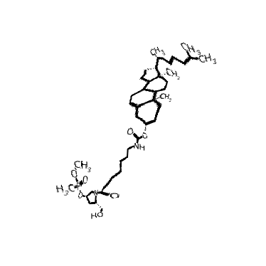 COP(C)(=O)O[C@@H]1C[C@@H](CO)N(C(=O)CCCCCNC(=O)O[C@H]2CC[C@@]3(C)C(=CCC4C3CC[C@@]3(C)C4CC[C@@H]3[C@H](C)CCCC(C)C)C2)C1